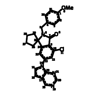 COc1ccc(CN2C(=O)c3c(Cl)cc(-n4ccc5cncnc54)cc3C23CCCC3)cc1